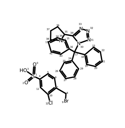 O=S(=O)(O)c1ccc(CBr)c(Cl)c1.c1ccc(C(c2ccccc2)(c2ccccc2)n2nnnc2C2CCCN2)cc1